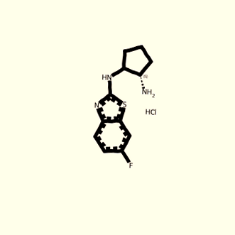 Cl.N[C@H]1CCCC1Nc1nc2ccc(F)cc2s1